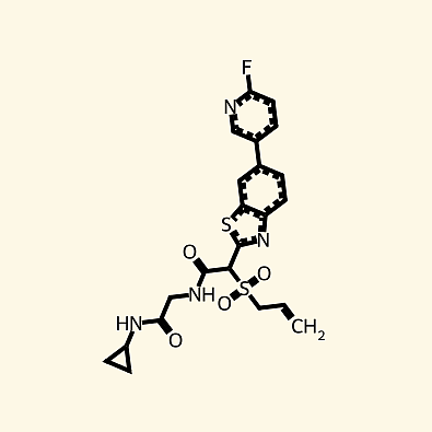 C=CCS(=O)(=O)C(C(=O)NCC(=O)NC1CC1)c1nc2ccc(-c3ccc(F)nc3)cc2s1